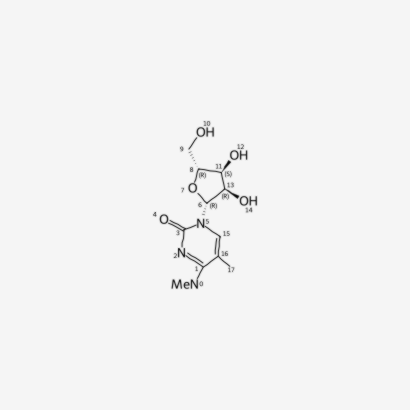 CNc1nc(=O)n([C@@H]2O[C@H](CO)[C@@H](O)[C@H]2O)cc1C